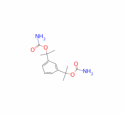 CC(C)(OC(N)=O)c1cccc(C(C)(C)OC(N)=O)c1